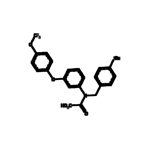 CC(C)(C)c1ccc(CN(C(=O)C(=O)O)c2cccc(Oc3ccc(OC(F)(F)F)cc3)c2)cc1